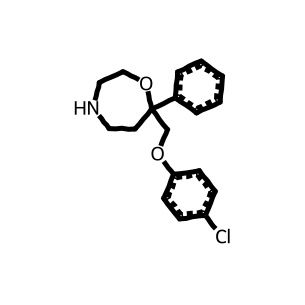 Clc1ccc(OCC2(c3ccccc3)CCNCCO2)cc1